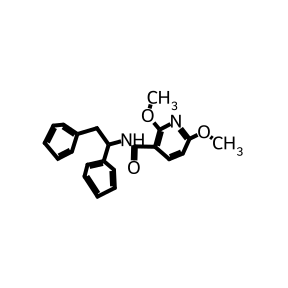 COc1ccc(C(=O)NC(Cc2ccccc2)c2ccccc2)c(OC)n1